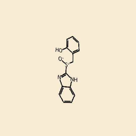 [O-][S+](Cc1ccccc1O)c1nc2ccccc2[nH]1